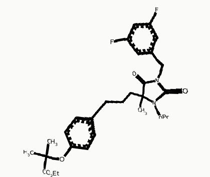 CCCN1C(=O)N(Cc2cc(F)cc(F)c2)C(=O)C1(C)CCCc1ccc(OC(C)(C)C(=O)OCC)cc1